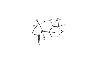 CC1(C)CCC[C@]2(C)[C@H]3C(=O)CO[C@]3(C)CC[C@@H]12